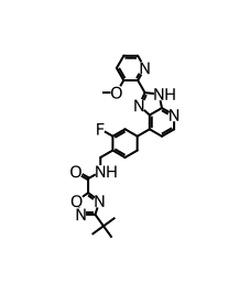 COc1cccnc1-c1nc2c(C3C=C(F)C(CNC(=O)c4nc(C(C)(C)C)no4)=CC3)ccnc2[nH]1